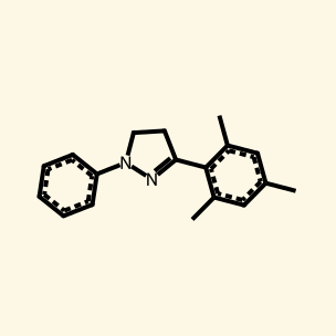 Cc1cc(C)c(C2=NN(c3ccccc3)CC2)c(C)c1